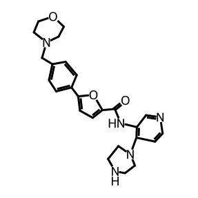 O=C(Nc1cnccc1N1CCNCC1)c1ccc(-c2ccc(CN3CCOCC3)cc2)o1